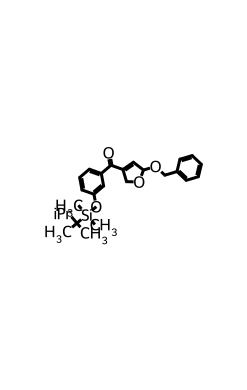 CC(C)C(C)(C)[Si](C)(C)Oc1cccc(C(=O)C2=CC(OCc3ccccc3)OC2)c1